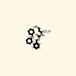 C1CCC(NC2CCCCC2)CC1.O=C(N[C@H](CCO)C(=O)O)OCc1ccccc1